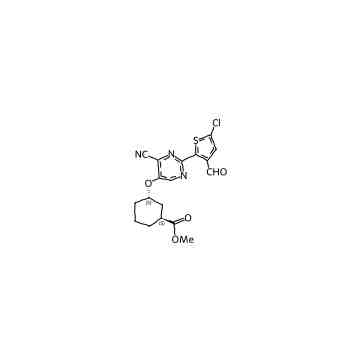 COC(=O)[C@H]1CCC[C@H](Oc2cnc(-c3sc(Cl)cc3C=O)nc2C#N)C1